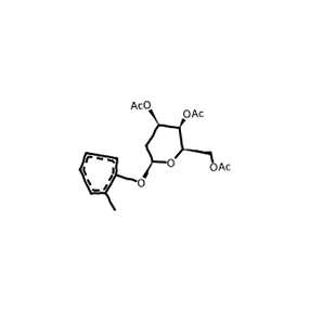 CC(=O)OC[C@H]1O[C@@H](Oc2ccccc2C)C[C@@H](OC(C)=O)[C@H]1OC(C)=O